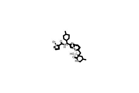 CCn1nccc1C(=O)N[C@H](c1cn2nc(CC3(C(=O)O)CC(C)CNC3=O)ccc2n1)C1CCC(C)CC1